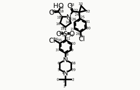 CC(C)(C)N1CCN(c2ccc(S(=O)(=O)[C@@H]3C[C@@H](C(=O)O)N(C(=O)C4(c5ccc(Cl)cc5)CC4)C3)c(Cl)c2)CC1